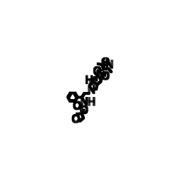 Cc1noc(C)c1S(=O)(=O)N1CC2CN(CCC(NC(=O)OC3CCOC3)c3ccccc3)C[C@H]2C1